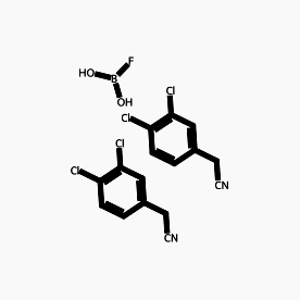 N#CCc1ccc(Cl)c(Cl)c1.N#CCc1ccc(Cl)c(Cl)c1.OB(O)F